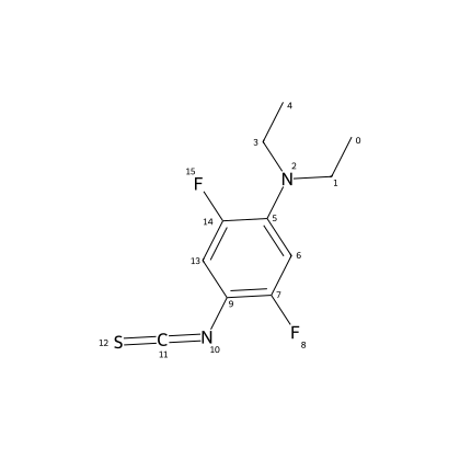 CCN(CC)c1cc(F)c(N=C=S)cc1F